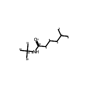 CC(C)CCCC(=O)NC(C)(C)C